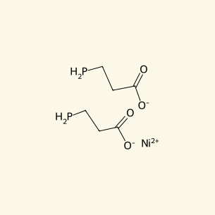 O=C([O-])CCP.O=C([O-])CCP.[Ni+2]